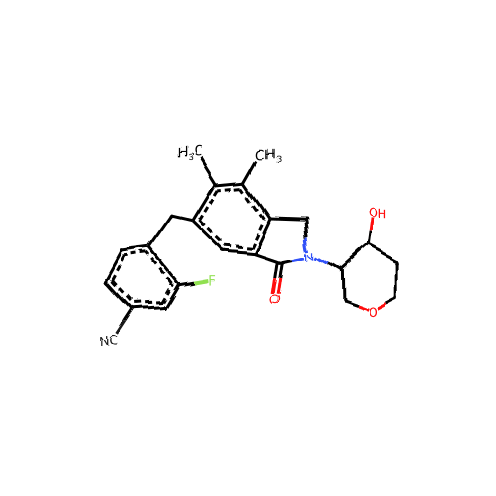 Cc1c(Cc2ccc(C#N)cc2F)cc2c(c1C)CN(C1COCCC1O)C2=O